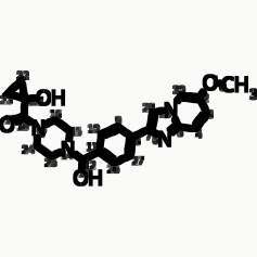 COc1ccc2nc(-c3ccc(C(O)N4CCN(C(=O)C5(O)CC5)CC4)cc3)cn2c1